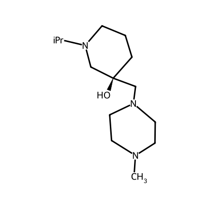 CC(C)N1CCC[C@](O)(CN2CCN(C)CC2)C1